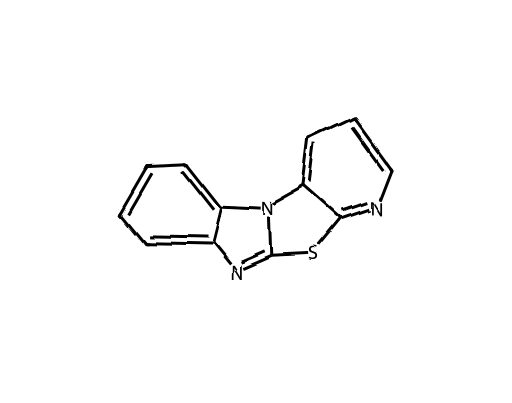 c1ccc2c(c1)nc1sc3ncccc3n12